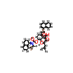 COC1C(OC(=O)N(C(C)=S)c2cccc3ccccc23)CCC(O)(CSc2cccc3ccccc23)C1C1(C)OC1CC=C(C)C